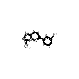 Fc1cccc(-c2ccc3nnc(C(F)(F)F)n3n2)c1